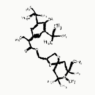 CC(C(=O)OCC1COC2(CC(C)(C)N(C)C(C)(C)C2)O1)c1cc(C(C)(C)C)c(O)c(C(C)(C)C)c1